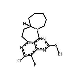 CCSc1nc2c3c(nc(Cl)c(F)c3n1)CC[C@@H]1CCCCCN21